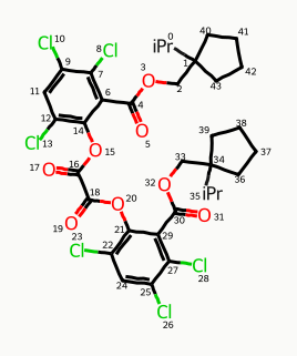 CC(C)C1(COC(=O)c2c(Cl)c(Cl)cc(Cl)c2OC(=O)C(=O)Oc2c(Cl)cc(Cl)c(Cl)c2C(=O)OCC2(C(C)C)CCCC2)CCCC1